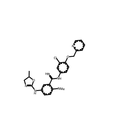 CNc1ccc(NC2=NCC(C)O2)cc1C(=N)Nc1ccc(OCc2ccccn2)c(Cl)c1